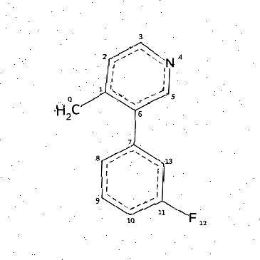 [CH2]c1ccncc1-c1cccc(F)c1